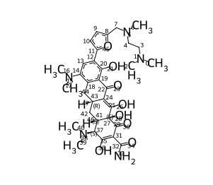 CN(C)CCN(C)Cc1ccc(-c2cc(N(C)C)c3c(c2O)C(=O)C2=C(O)[C@]4(O)C(=O)C(C(N)=O)=C(O)[C@@H](N(C)C)[C@@H]4C[C@@H]2C3)o1